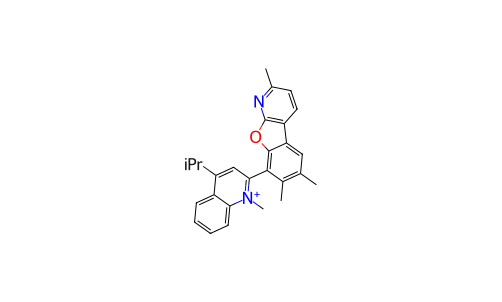 Cc1ccc2c(n1)oc1c(-c3cc(C(C)C)c4ccccc4[n+]3C)c(C)c(C)cc12